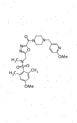 COc1cc(C)c(S(=O)(=O)N(C)Cc2nnc(C(=O)N3CCN(Cc4ccc(OC)nc4)CC3)o2)c(C)c1